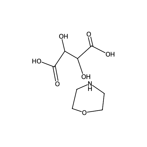 C1COCCN1.O=C(O)C(O)C(O)C(=O)O